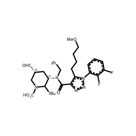 COCCCCc1c(C(=O)N(CC(C)C)[C@H]2C[C@@H](C=O)CN(C(=O)O)C2C(C)(C)C)nnn1-c1cccc(F)c1F